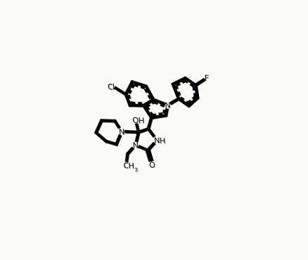 CCN1C(=O)NC(c2cn(-c3ccc(F)cc3)c3ccc(Cl)cc23)C1(O)N1CCCCC1